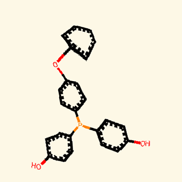 Oc1ccc(P(c2ccc(O)cc2)c2ccc(Oc3ccccc3)cc2)cc1